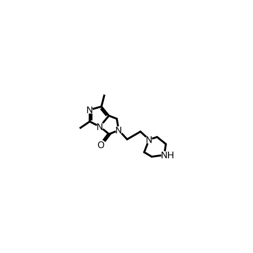 Cc1nc(C)n2c1CN(CCN1CCNCC1)C2=O